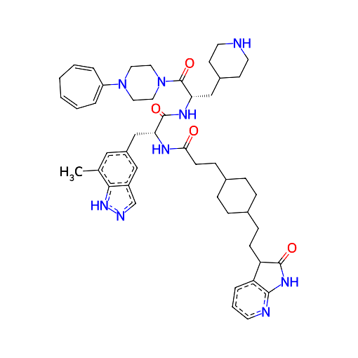 Cc1cc(C[C@@H](NC(=O)CCC2CCC(CCC3C(=O)Nc4ncccc43)CC2)C(=O)N[C@@H](CC2CCNCC2)C(=O)N2CCN(C3=CC=CCC=C3)CC2)cc2cn[nH]c12